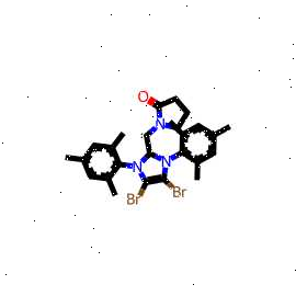 Cc1cc(C)c(N2[C]([C]N3CCCC3=O)N(c3c(C)cc(C)cc3C)C(Br)=C2Br)c(C)c1